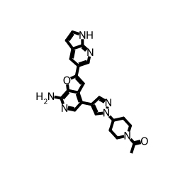 CC(=O)N1CCC(n2cc(-c3cnc(N)c4oc(-c5cnc6[nH]ccc6c5)cc34)cn2)CC1